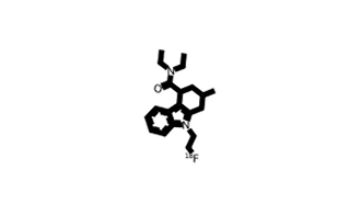 CCN(CC)C(=O)C1CC(C)Cc2c1c1ccccc1n2CC[18F]